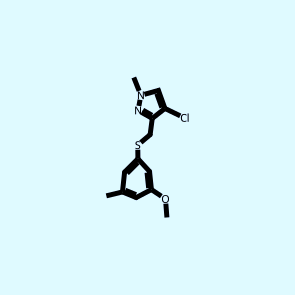 COc1cc(C)cc(SCc2nn(C)cc2Cl)c1